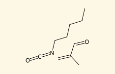 C=C(C)C=O.CCCCCN=C=O